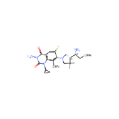 COC[C@@H](N)[C@H]1CN(c2c(F)cc3c(=O)n(N)c(=O)n(C4CC4)c3c2OC)CC1(C)C